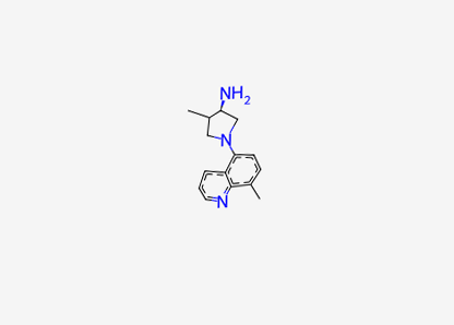 Cc1ccc(N2CC(C)[C@@H](N)C2)c2cccnc12